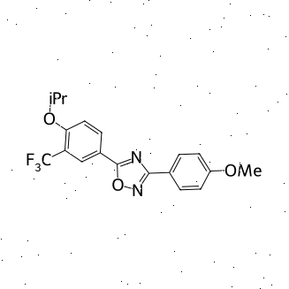 COc1ccc(-c2noc(-c3ccc(OC(C)C)c(C(F)(F)F)c3)n2)cc1